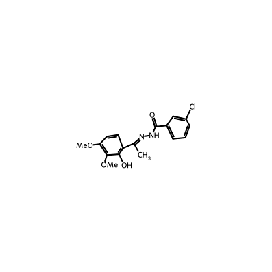 COc1ccc(/C(C)=N/NC(=O)c2cccc(Cl)c2)c(O)c1OC